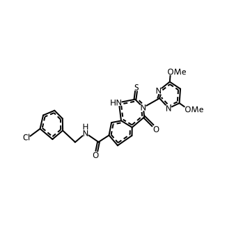 COc1cc(OC)nc(-n2c(=S)[nH]c3cc(C(=O)NCc4cccc(Cl)c4)ccc3c2=O)n1